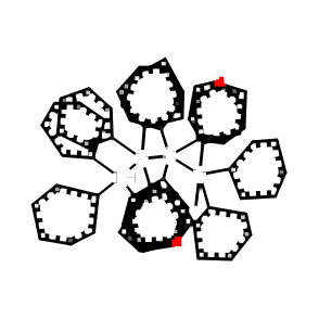 CP(c1ccccc1)(c1ccccc1)(c1ccccc1)P(c1ccccc1)(c1ccccc1)(c1ccccc1)P(c1ccccc1)(c1ccccc1)(c1ccccc1)[PH](c1ccccc1)(c1ccccc1)c1ccccc1